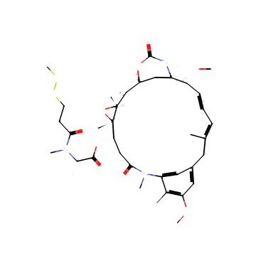 COc1cc2cc(c1Cl)N(C)C(=O)C[C@H](OC(=O)[C@H](C)N(C)C(=O)CCSSC)[C@]1(C)O[C@@H]1[C@H](C)[C@@H]1C[C@@](O)(NC(=O)O1)[C@H](OC)/C=C/C=C(\C)C2